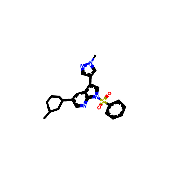 CC1CCCC(c2cnc3c(c2)c(-c2cnn(C)c2)cn3S(=O)(=O)c2ccccc2)C1